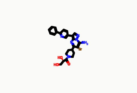 Nc1c(Br)c(C2CCN(C(=O)[C@@H](O)CO)CC2)nc2c(-c3ccc(-c4ccccc4)nc3)cnn12